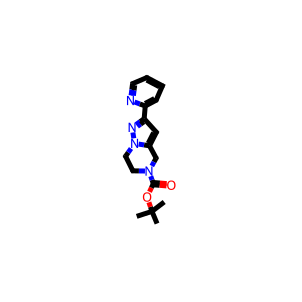 CC(C)(C)OC(=O)N1CCn2nc(-c3ccccn3)cc2C1